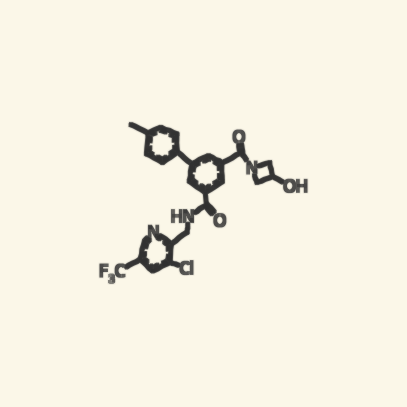 Cc1ccc(-c2cc(C(=O)NCc3ncc(C(F)(F)F)cc3Cl)cc(C(=O)N3CC(O)C3)c2)cc1